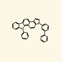 c1ccc(-c2cccc(-n3ccc4c5ccc6c7ccccc7n(-c7ccccc7)c6c5ccc43)c2)cc1